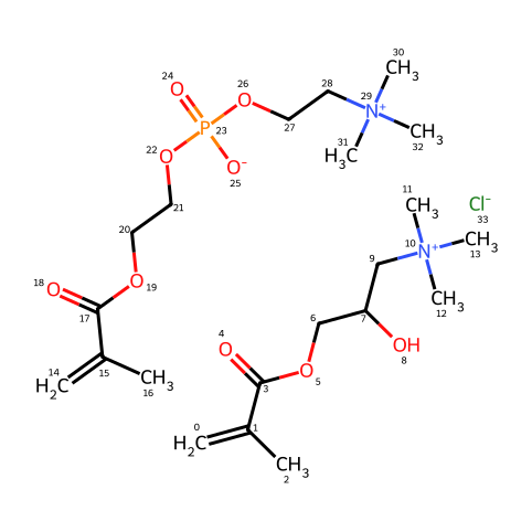 C=C(C)C(=O)OCC(O)C[N+](C)(C)C.C=C(C)C(=O)OCCOP(=O)([O-])OCC[N+](C)(C)C.[Cl-]